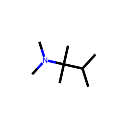 CC(C)C(C)(C)N(C)C